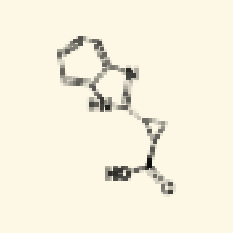 O=C(O)[C@@H]1C[C@H]1c1nc2ccccc2[nH]1